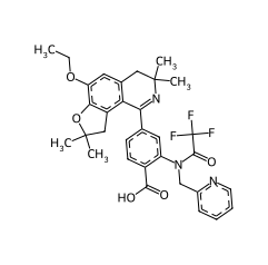 CCOc1cc2c(c3c1OC(C)(C)C3)C(c1ccc(C(=O)O)c(N(Cc3ccccn3)C(=O)C(F)(F)F)c1)=NC(C)(C)C2